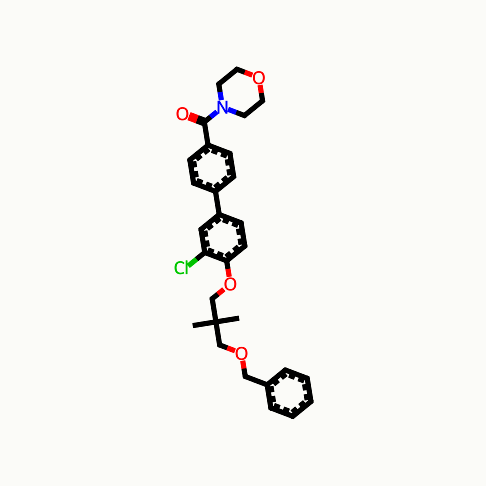 CC(C)(COCc1ccccc1)COc1ccc(-c2ccc(C(=O)N3CCOCC3)cc2)cc1Cl